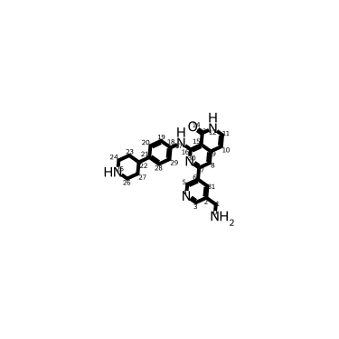 NCc1cncc(-c2cc3cc[nH]c(=O)c3c(Nc3ccc(C4CCNCC4)cc3)n2)c1